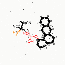 CC(C#N)C(P)(C#N)C#N.OB(O)Oc1cccc2ccc3cc4ccccc4cc3c12